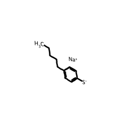 CCCCCc1ccc([S-])cc1.[Na+]